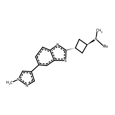 CCC(C)N(C)[C@H]1C[C@H](c2nc3ccc(-c4cnn(C)c4)cc3s2)C1